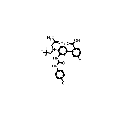 C=C(C)CN(CC(F)(F)F)c1ccc(-c2cc(F)ccc2C(=O)O)cc1NC(=O)Nc1ccc(C)cc1